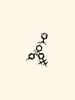 O=C(N[C@H]1CC[C@@](c2ccc(C(F)(C(F)(F)F)C(F)(F)F)cc2)(S(=O)(=O)c2ccc(F)cc2)CC1)c1ccnnc1